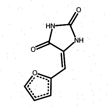 O=C1NC(=O)C(=Cc2ccco2)N1